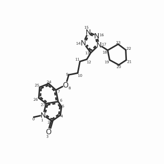 Cn1c(=O)ccc2c(OCCCCc3nnnn3C3CCCCC3)cccc21